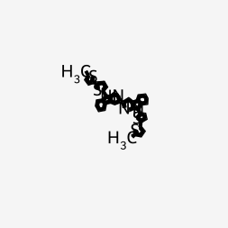 Cc1ccc(-c2ccc(-n3c4ccccc4c4cc(-c5cc6c7ccccc7n(-c7ccc(-c8ccc(C)s8)s7)c6cn5)ncc43)s2)s1